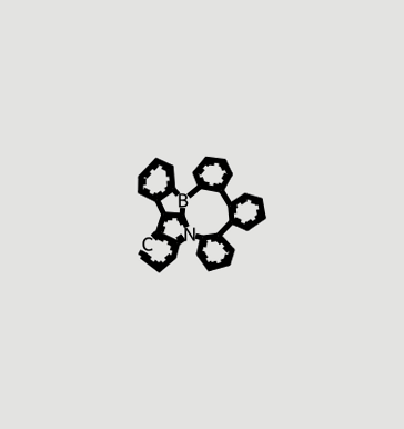 c1ccc2c(c1)B1c3ccccc3-c3c1n(c1ccccc31)-c1ccccc1-c1ccccc1-2